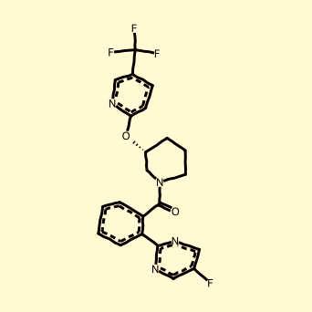 O=C(c1ccccc1-c1ncc(F)cn1)N1CCC[C@@H](Oc2ccc(C(F)(F)F)cn2)C1